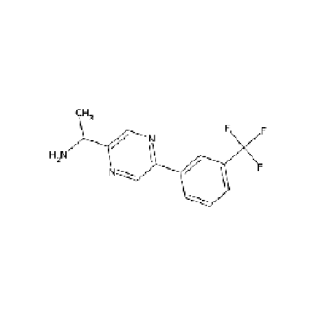 CC(N)c1cnc(-c2cccc(C(F)(F)F)c2)cn1